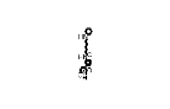 O=C1CCC(c2cccc(NC(=O)CCCCCCNC3CCCCC3)c2)C(=O)N1